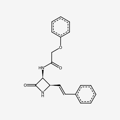 O=C(COc1ccccc1)N[C@@H]1C(=O)N[C@@H]1C=Cc1ccccc1